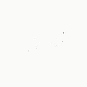 Nc1ncnc(N2CCC(N)(C(=O)Oc3ccccc3F)CC2)c1Cl